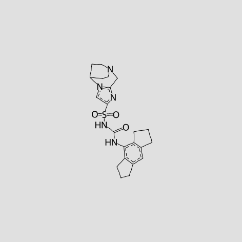 O=C(Nc1c2c(cc3c1CCC3)CCC2)NS(=O)(=O)c1cn2c(n1)CN1CCC2CC1